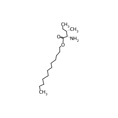 CCCCCCCCCCCCOC(=O)[C@@H](N)[C@@H](C)CC